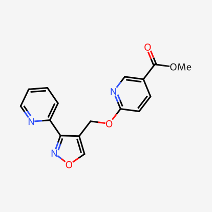 COC(=O)c1ccc(OCc2conc2-c2ccccn2)nc1